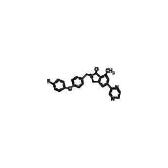 Cc1cc(-c2cnccn2)cc2c1C(=O)N(Cc1ccc(Oc3ccc(F)cc3)cc1)C2